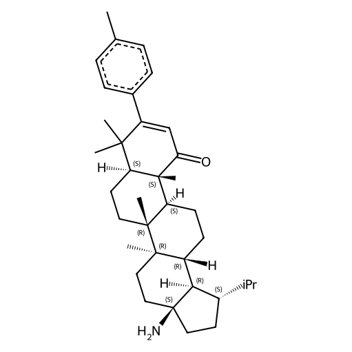 Cc1ccc(C2=CC(=O)[C@]3(C)[C@H]4CC[C@@H]5[C@H]6[C@H](C(C)C)CC[C@]6(N)CC[C@@]5(C)[C@]4(C)CC[C@H]3C2(C)C)cc1